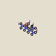 Ic1cccc(N(c2ccccc2)c2cc3c4c(c2)N(c2ccccc2)c2cc5c(cc2B4c2ccc(I)cc2O3)B2c3ccc(I)cc3N(c3ccccc3)c3cc(N(c4ccccc4)c4cccc(I)c4)cc(c32)N5c2ccccc2)c1